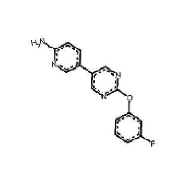 Nc1ccc(-c2cnc(Oc3cccc(F)c3)nc2)cn1